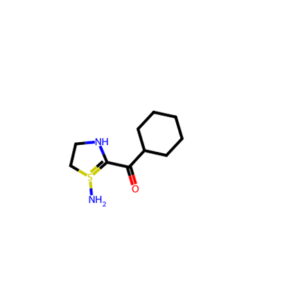 NS1=C(C(=O)C2CCCCC2)NCC1